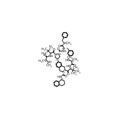 CN[C@@H](C)C(=O)N[C@H](C(=O)N1C[C@H](c2ccc3c(c2)CN(C(=O)[C@@H](NC(=O)[C@H](C)NC)C(C)(C)C)[C@H](C(=O)N[C@@H]2CCCc4ccccc42)C3)C[C@H]1C(=O)N[C@@H](Cc1ccccc1)C(=O)N(C)Cc1ccccc1)C(C)(C)C